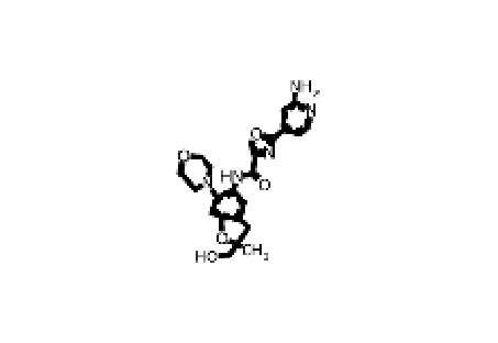 CC1(CO)Cc2cc(NC(=O)c3coc(-c4ccnc(N)c4)n3)c(N3CCOCC3)cc2O1